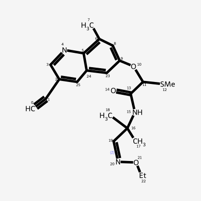 C#Cc1cnc2c(C)cc(OC(SC)C(=O)NC(C)(C)/C=N\OCC)cc2c1